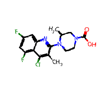 Cc1c(N2CCN(C(=O)O)CC2C)nc2cc(F)cc(F)c2c1Cl